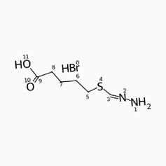 Br.NN=CSCCCCC(=O)O